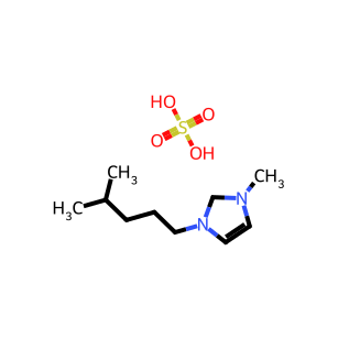 CC(C)CCCN1C=CN(C)C1.O=S(=O)(O)O